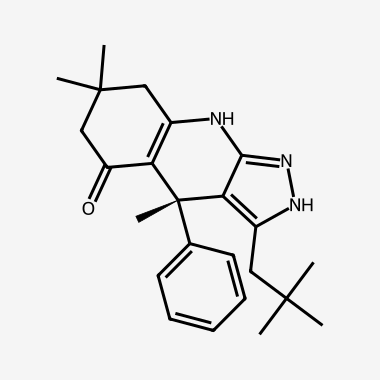 CC(C)(C)Cc1[nH]nc2c1[C@](C)(c1ccccc1)C1=C(CC(C)(C)CC1=O)N2